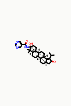 CC(C)C1=C2[C@H]3CC[C@@H]4[C@@]5(C)CC[C@@](O)(NC(=O)c6cncnc6)C(C)(C)[C@@H]5CC[C@@]4(C)[C@]3(C)CC[C@@]2(C)CC1=O